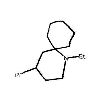 CCN1CCC(C(C)C)CC12CCCCC2